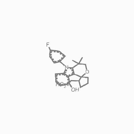 CC1(C)COC2(CCCC2CC(=O)O)c2c1n(-c1ccc(F)cc1)c1cccc(O)c21